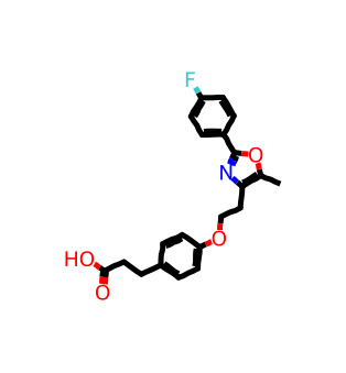 Cc1oc(-c2ccc(F)cc2)nc1CCOc1ccc(CCC(=O)O)cc1